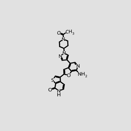 CC(=O)N1CCC(n2cc(-c3cnc(N)c4oc(-c5csc6c(=O)[nH]ccc56)cc34)cn2)CC1